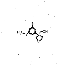 COc1cc(Br)nc([C@@]2(CO)CCOC2)c1